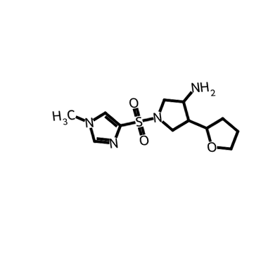 Cn1cnc(S(=O)(=O)N2CC(N)C(C3CCCO3)C2)c1